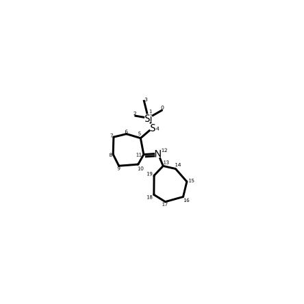 C[Si](C)(C)SC1CCCCC/C1=N\C1CCCCCC1